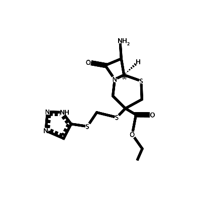 CCOC(=O)C1(SCSc2cnn[nH]2)CS[C@@H]2C(N)C(=O)N2C1